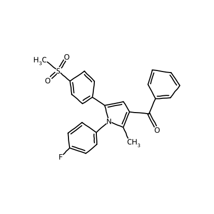 Cc1c(C(=O)c2ccccc2)cc(-c2ccc(S(C)(=O)=O)cc2)n1-c1ccc(F)cc1